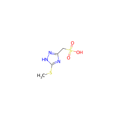 CSc1nc(CS(=O)(=O)O)n[nH]1